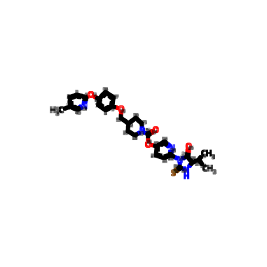 Cc1ccc(Oc2ccc(OCC3CCN(C(=O)Oc4ccc(N5C(=O)C(C(C)C)NC5=S)nc4)CC3)cc2)nc1